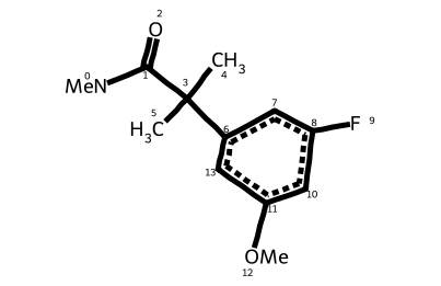 CNC(=O)C(C)(C)c1cc(F)cc(OC)c1